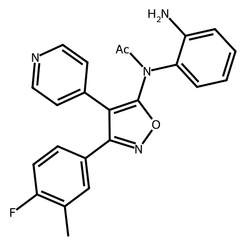 CC(=O)N(c1ccccc1N)c1onc(-c2ccc(F)c(C)c2)c1-c1ccncc1